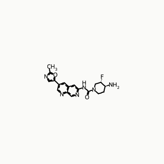 Cc1ncc(-c2cnc3cnc(NC(=O)N4CC[C@H](N)[C@@H](F)C4)cc3c2)o1